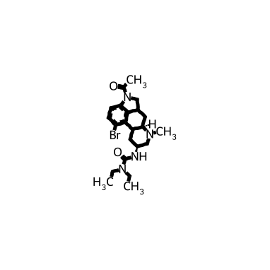 CCN(CC)C(=O)N[C@H]1CC2c3c(Br)ccc4c3C(C[C@H]2N(C)C1)CN4C(C)=O